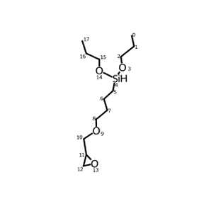 CCCO[SiH](CCCCOCC1CO1)OCCC